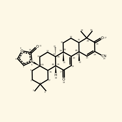 CC1(C)CC[C@]2(n3ccoc3=O)CC[C@]3(C)[C@H](C(=O)C=C4[C@@]5(C)C=C(C#N)C(=O)C(C)(C)C5CC[C@]43C)C2C1